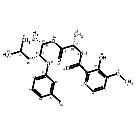 COc1ccnc(C(=O)N[C@@H](C)C(=O)O[C@@H](C)[C@@H](CC(C)C)Oc2cccc(F)c2)c1O